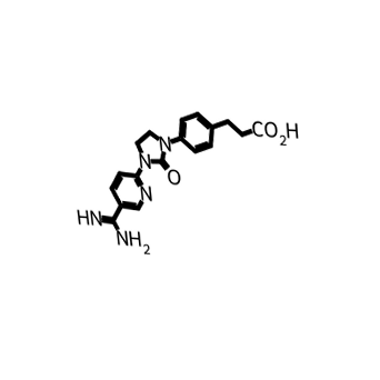 N=C(N)c1ccc(N2CCN(c3ccc(CCC(=O)O)cc3)C2=O)nc1